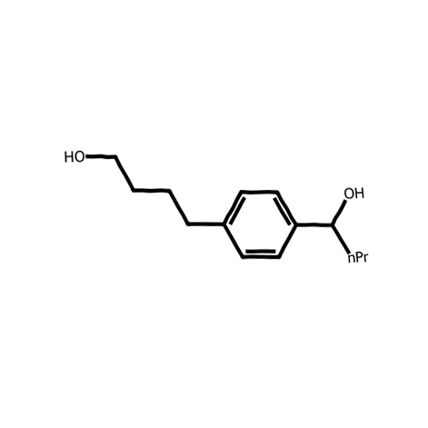 CCCC(O)c1ccc(CCCCO)cc1